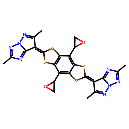 Cc1nc2c(=C3Sc4c(c(C5CO5)c5c(c4C4CO4)SC(=c4c(C)nn6nc(C)nc46)S5)S3)c(C)nn2n1